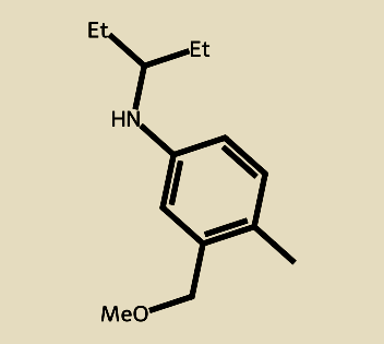 CCC(CC)Nc1ccc(C)c(COC)c1